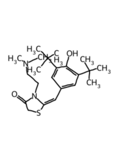 CN(C)CCN1C(=O)CSC1=Cc1cc(C(C)(C)C)c(O)c(C(C)(C)C)c1